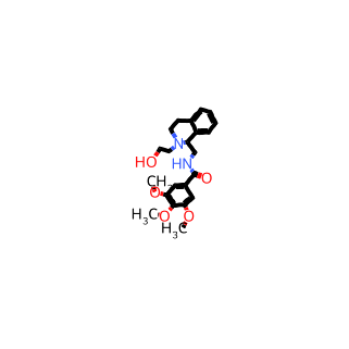 COc1cc(C(=O)NCC2c3ccccc3CCN2CCO)cc(OC)c1OC